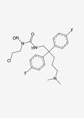 CN(C)CCCC(CNC(=O)N(CCCl)N=O)(c1ccc(F)cc1)c1ccc(F)cc1